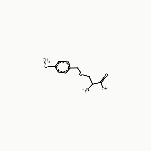 COc1ccc(C[Se]CC(N)C(=O)O)cc1